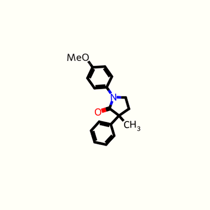 COc1ccc(N2CCC(C)(c3ccccc3)C2=O)cc1